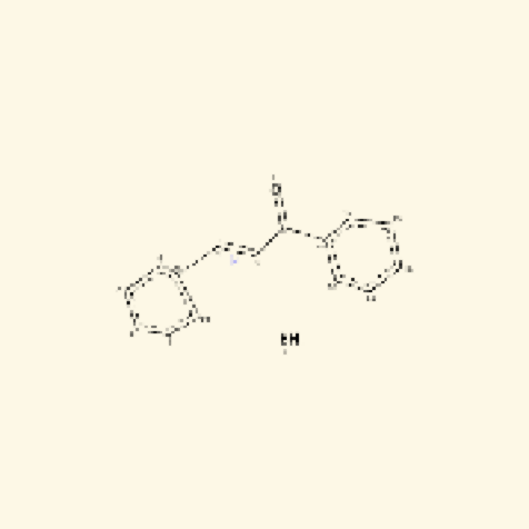 B.O=C(/C=C/c1ccccc1)c1ccccc1